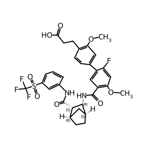 COc1cc(-c2cc(C(=O)N[C@@H]3[C@H]4CC[C@H](C4)[C@@H]3C(=O)Nc3cccc(S(=O)(=O)C(F)(F)F)c3)c(OC)cc2F)ccc1CCC(=O)O